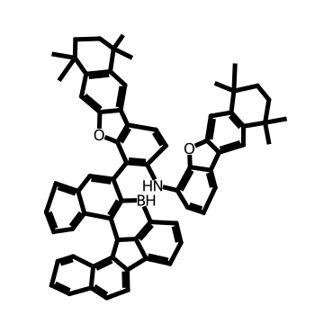 CC1(C)CCC(C)(C)c2cc3c(cc21)oc1c(Nc2ccc4c(oc5cc6c(cc54)C(C)(C)CCC6(C)C)c2-c2cc4ccccc4c4c2Bc2cccc5c2C4c2c-5ccc4ccccc24)cccc13